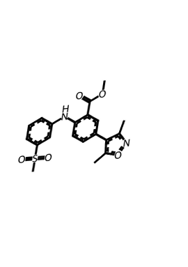 COC(=O)c1cc(-c2c(C)noc2C)ccc1Nc1cccc(S(C)(=O)=O)c1